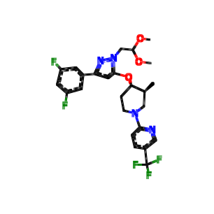 COC(Cn1nc(-c2cc(F)cc(F)c2)cc1O[C@@H]1CCN(c2ccc(C(F)(F)F)cn2)C[C@@H]1C)OC